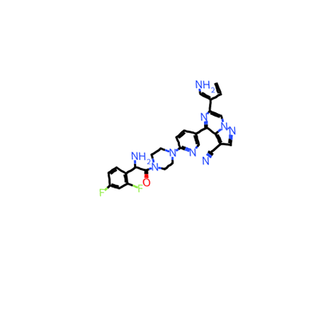 C=C/C(=C\N)c1cn2ncc(C#N)c2c(-c2ccc(N3CCN(C(=O)C(N)c4ccc(F)cc4F)CC3)nc2)n1